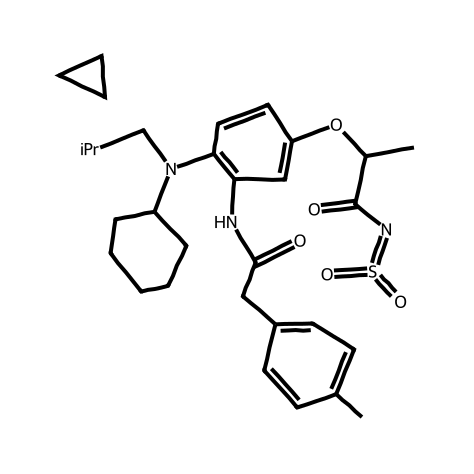 C1CC1.Cc1ccc(CC(=O)Nc2cc(OC(C)C(=O)N=S(=O)=O)ccc2N(CC(C)C)C2CCCCC2)cc1